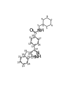 O=C(NCC1CCCCC1)c1ccc(-c2n[nH]c3c2Cc2ccccc2-3)cc1